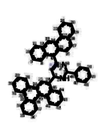 NC(NC(/C=C/c1c2ccccc2cc2c1ccc1ccccc12)c1cc2c3ccccc3c3ccccc3c2c2ccccc12)c1ccccc1